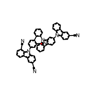 N#Cc1ccc2c(c1)c1ccccc1n2-c1ccc2c3ccccc3n(-c3ccccc3-c3ccc(-n4c5ccc(C#N)cc5c5cccc(C#N)c54)cc3C#N)c2c1